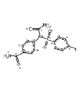 Cc1ccc(S(=O)(=O)N(C(N)=O)c2ccc(C(N)=O)cc2)cc1